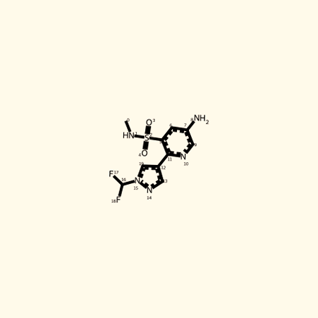 CNS(=O)(=O)c1cc(N)cnc1-c1cnn(C(F)F)c1